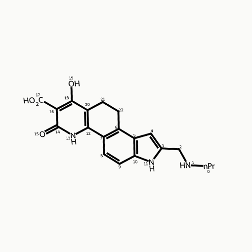 CCCNCc1cc2c3c(ccc2[nH]1)-c1[nH]c(=O)c(C(=O)O)c(O)c1CC3